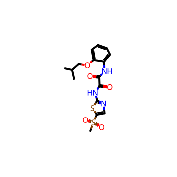 CC(C)COc1ccccc1NC(=O)C(=O)Nc1ncc(S(C)(=O)=O)s1